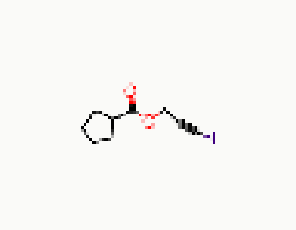 O=C(OCC#CI)C1CCCC1